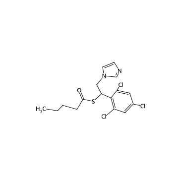 CCCCC(=O)SC(Cn1ccnc1)c1c(Cl)cc(Cl)cc1Cl